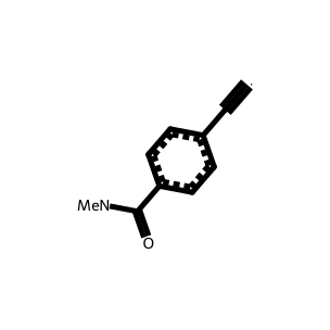 [C]#Cc1ccc(C(=O)NC)cc1